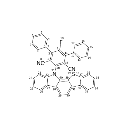 N#Cc1c(-c2ccccc2)c(F)c(-c2ccccc2)c(C#N)c1-n1c2ccccc2c2ccc3c4ccccc4sc3c21